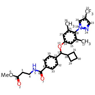 COC(=O)CCNC(=O)c1ccc(C(Oc2cc(C)c(-n3cc(C(F)(F)F)cn3)c(C)c2)C2CCC2)cc1